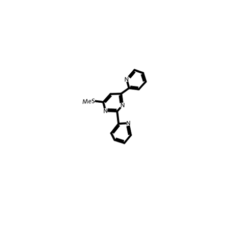 CSc1cc(-c2ccccn2)nc(-c2ccccn2)n1